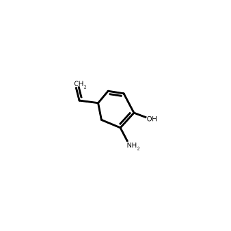 C=CC1C=CC(O)=C(N)C1